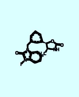 C[C@@H]1NC(=O)O[C@H]1c1cccc(Cn2c(=O)n(I)c3ccccc32)c1